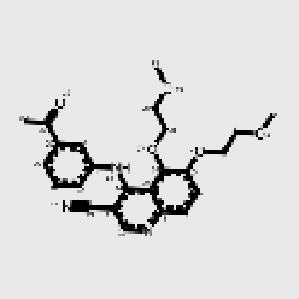 COCCOc1ccc2ncc(C#N)c(Nc3cccc(C(C)=O)c3)c2c1OCCOC